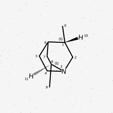 C[C@@H]1CN2CCC1C[C@@H]2C